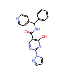 O=C(NC(c1ccccc1)c1ccncc1)c1cnc(-n2cccn2)nc1O